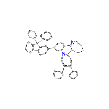 C1=CN=C(c2ccc(-c3ccc4c(c3)C(c3ccccc3)(c3ccccc3)c3ccccc3-4)cc2)C(c2cc(-c3ccccc3)c(-c3ccccc3)cn2)CC1